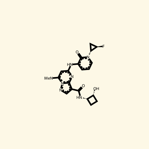 CNc1cc(Nc2cccn([C@@H]3C[C@H]3F)c2=O)nc2c(C(=O)N[C@H]3CC[C@H]3O)cnn12